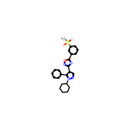 CS(=O)(=O)c1cccc(-c2nc(-c3cnn(C4CCCCC4)c3-c3ccccc3)no2)c1